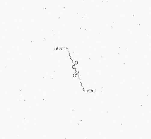 CCCCCCCC/C=C\CCCCCCCC(=O)OCCOC(=O)CCCCCCC/C=C\CCCCCCCC